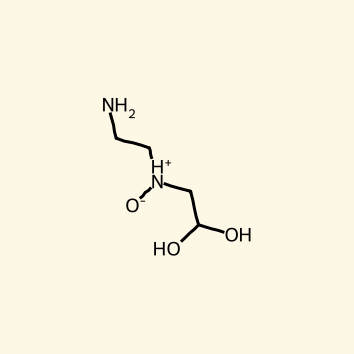 NCC[NH+]([O-])CC(O)O